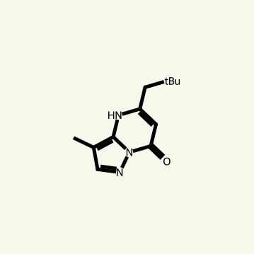 Cc1cnn2c(=O)cc(CC(C)(C)C)[nH]c12